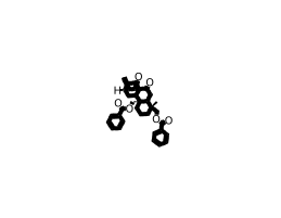 C=C1C(=O)C23CC[C@H]1CC2[C@]1(COC(=O)c2ccccc2)CCC[C@@](C)(COC(=O)c2ccccc2)C1CC3=O